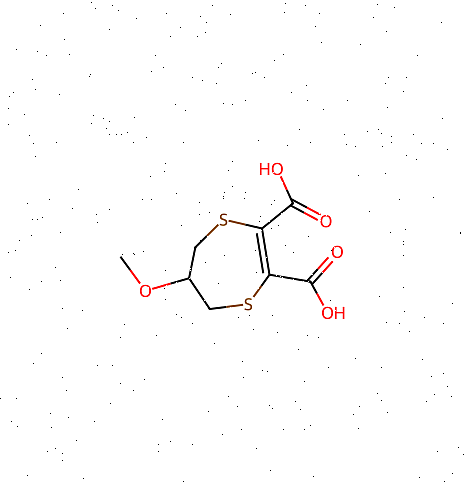 COC1CSC(C(=O)O)=C(C(=O)O)SC1